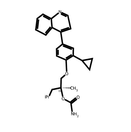 CC(C)C[C@@](C)(COc1ccc(-c2ccnc3ccccc23)cc1C1CC1)OC(N)=O